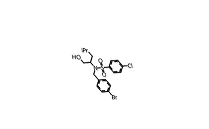 CC(C)CC(CO)N(Cc1ccc(Br)cc1)S(=O)(=O)c1ccc(Cl)cc1